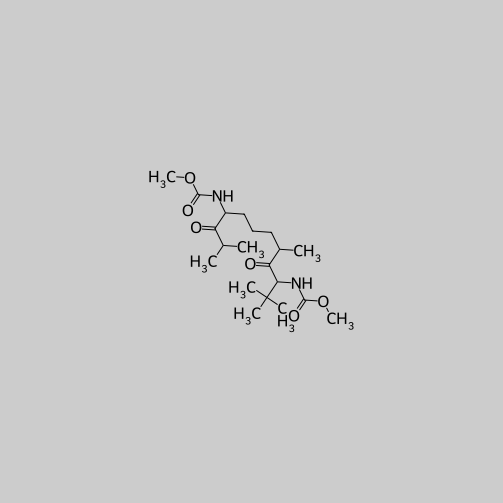 COC(=O)NC(CCCC(C)C(=O)C(NC(=O)OC)C(C)(C)C)C(=O)C(C)C